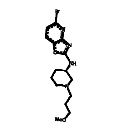 COCCCN1CCC[C@@H](Nc2nc3nc(Br)ccc3o2)C1